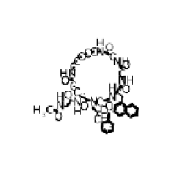 CC(=O)NCC(=O)N[C@H]1CCC(=O)NCCOCCNC(=O)CNC(=O)CNC(=O)[C@@H](Cc2cccc3ccccc23)NC(=O)CN(CC(C)OCc2ccccc2)C1=O